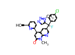 C#Cc1cccc(-c2cc(=O)n(C)c3ncc([C@](F)(c4ccc(Cl)cc4)c4cnnn4C)cc23)n1